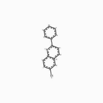 CCc1ccc2nc(-c3ccccc3)ccc2c1